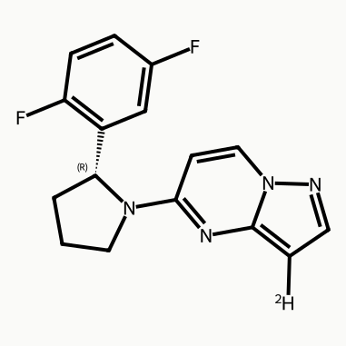 [2H]c1cnn2ccc(N3CCC[C@@H]3c3cc(F)ccc3F)nc12